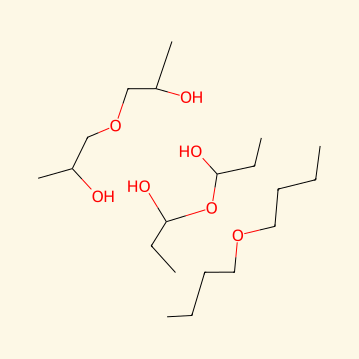 CC(O)COCC(C)O.CCC(O)OC(O)CC.CCCCOCCCC